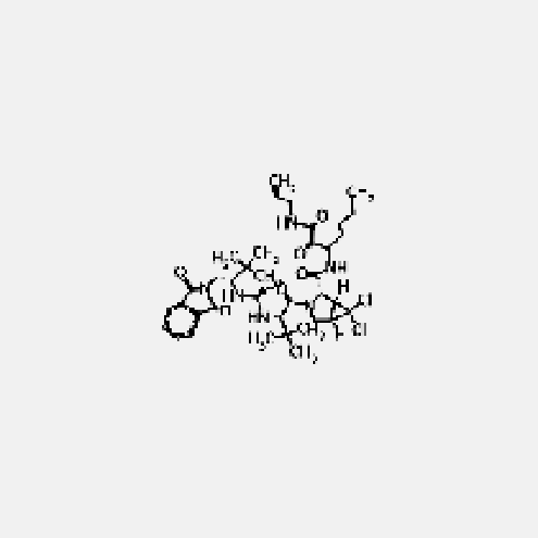 C=CCNC(=O)C(=O)C(CCCC)NC(=O)[C@@H]1[C@@H]2[C@H](CN1C(=O)[C@@H](NC(=O)N[C@H](CN1C(=O)c3ccccc3C1=O)C(C)(C)C)C(C)(C)C)C2(Cl)Cl